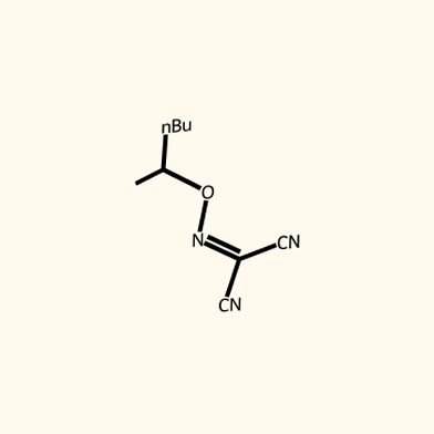 CCCCC(C)ON=C(C#N)C#N